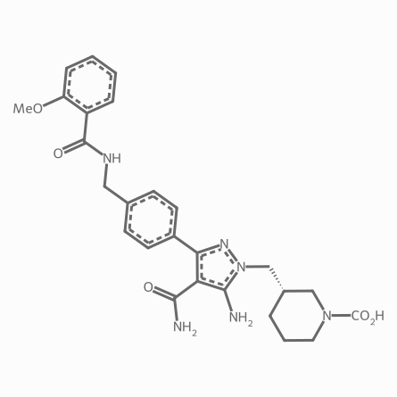 COc1ccccc1C(=O)NCc1ccc(-c2nn(C[C@H]3CCCN(C(=O)O)C3)c(N)c2C(N)=O)cc1